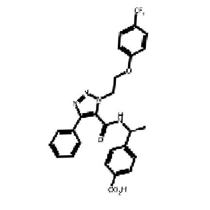 C[C@H](NC(=O)c1c(-c2ccccc2)nnn1CCOc1ccc(C(F)(F)F)cc1)c1ccc(C(=O)O)cc1